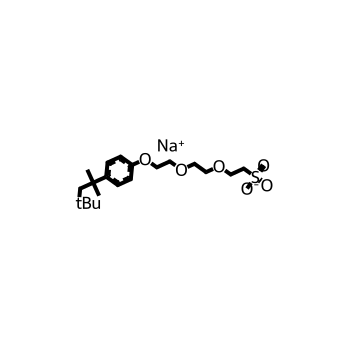 CC(C)(C)CC(C)(C)c1ccc(OCCOCCOCCS(=O)(=O)[O-])cc1.[Na+]